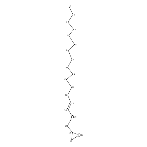 CCCCCCCCCCCCC/C=C/OCC1CO1